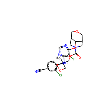 CC1(COC(=O)N2CC3COCC(C2)C3Oc2ncnc(Nc3ccc(C#N)cc3Cl)c2F)COC1